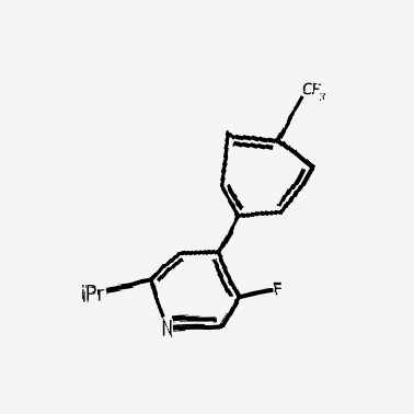 CC(C)c1cc(-c2ccc(C(F)(F)F)cc2)c(F)cn1